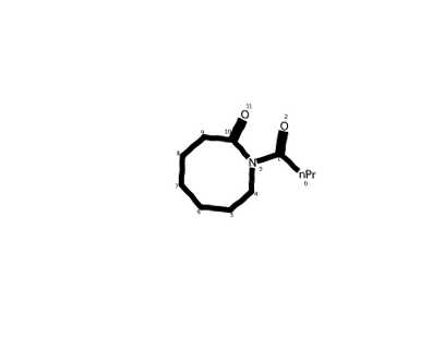 CCCC(=O)N1CCCCCCC1=O